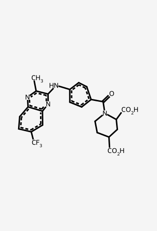 Cc1nc2ccc(C(F)(F)F)cc2nc1Nc1ccc(C(=O)N2CCC(C(=O)O)CC2C(=O)O)cc1